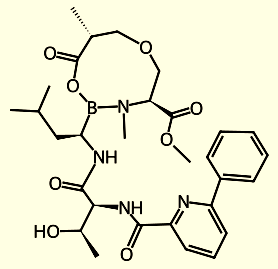 COC(=O)[C@@H]1COC[C@@H](C)C(=O)OB([C@H](CC(C)C)NC(=O)[C@@H](NC(=O)c2cccc(-c3ccccc3)n2)[C@@H](C)O)N1C